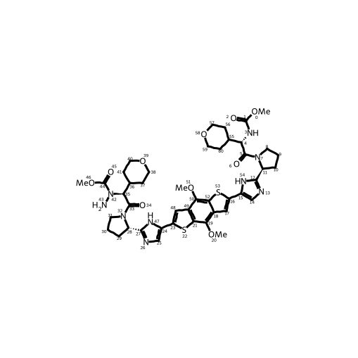 COC(=O)N[C@H](C(=O)N1CCC[C@H]1c1ncc(-c2cc3c(OC)c4sc(-c5cnc([C@@H]6CCCN6C(=O)[C@H](C6CCOCC6)N(N)C(=O)OC)[nH]5)cc4c(OC)c3s2)[nH]1)C1CCOCC1